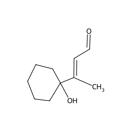 CC(=CC=O)C1(O)CCCCC1